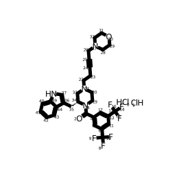 Cl.Cl.O=C(c1cc(C(F)(F)F)cc(C(F)(F)F)c1)N1CCN(CCC#CCN2CCOCC2)C[C@H]1Cc1c[nH]c2ccccc12